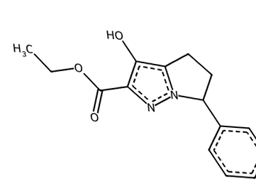 CCOC(=O)c1nn2c(c1O)CCC2c1ccccc1